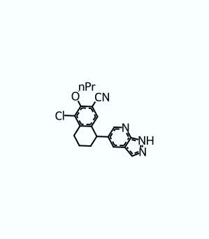 CCCOc1c(C#N)cc2c(c1Cl)CCCC2c1cnc2[nH]ncc2c1